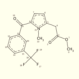 COC(=O)Cc1ccc(C(=O)c2cccc(C(F)(F)F)c2)n1C